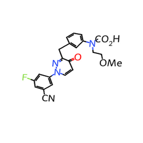 COCCN(C(=O)O)c1cccc(Cc2nn(-c3cc(F)cc(C#N)c3)ccc2=O)c1